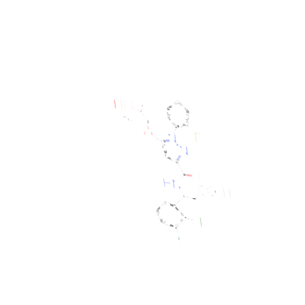 CC(C)[C@@](C)(O)COc1cc(C(=O)N[C@@H](CC(=O)O)c2cccc(Cl)c2Cl)nn1-c1ccccc1F